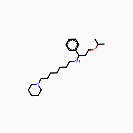 CC(C)OCCC(NCCCCCCCN1CCCCC1)c1ccccc1